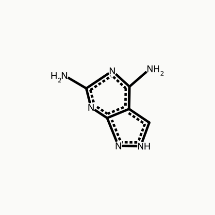 Nc1nc(N)c2c[nH]nc2n1